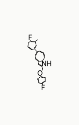 CC1=C(F)CC=CC(/C2=C/C=C3/C=C(COc4ccc(F)cc4)NC3C=C=C2)=C1